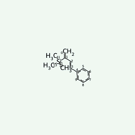 C=C(/C=C/c1ccccc1)[Si](C)(C)C